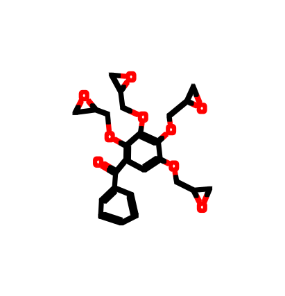 O=C(c1ccccc1)c1cc(OCC2CO2)c(OCC2CO2)c(OCC2CO2)c1OCC1CO1